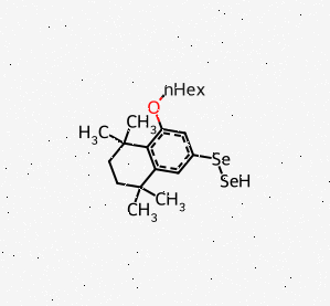 CCCCCCOc1cc([Se][SeH])cc2c1C(C)(C)CCC2(C)C